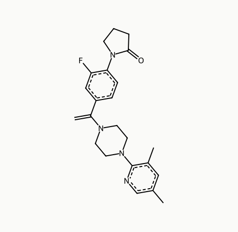 C=C(c1ccc(N2CCCC2=O)c(F)c1)N1CCN(c2ncc(C)cc2C)CC1